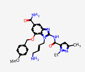 CCn1nc(C)cc1C(=O)Nc1nc2cc(C(N)=O)cc(OCc3ccc(OC)cc3)c2n1CC=CCN